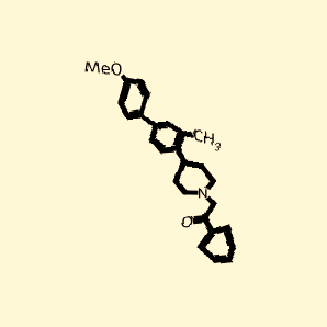 COc1ccc(-c2ccc(C3CCN(CC(=O)c4ccccc4)CC3)c(C)c2)cc1